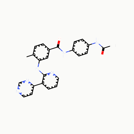 CC(=O)Nc1ccc(NC(=O)c2ccc(C)c(Nc3ncccc3-c3ccncn3)c2)cc1